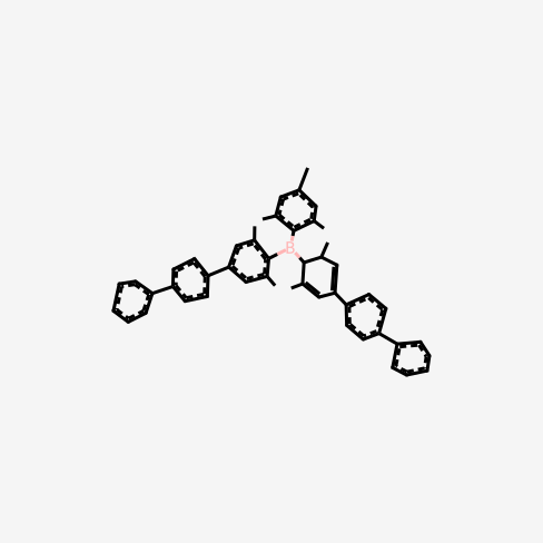 CC1=CC(c2ccc(-c3ccccc3)cc2)=CC(C)C1B(c1c(C)cc(C)cc1C)c1c(C)cc(-c2ccc(-c3ccccc3)cc2)cc1C